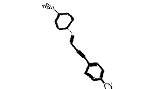 CCCC[C@H]1CC[C@H](C=CC#Cc2ccc(C#N)cc2)CC1